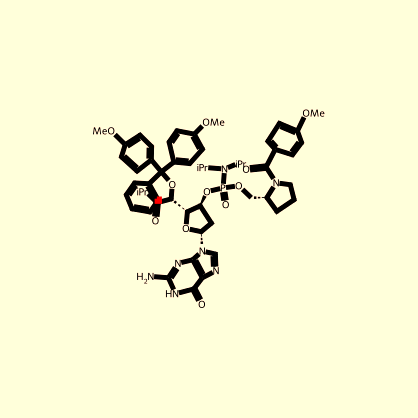 COc1ccc(C(=O)N2CCC[C@@H]2COP(=O)(O[C@H]2C[C@H](n3cnc4c(=O)[nH]c(N)nc43)O[C@@H]2C(OC(c2ccccc2)(c2ccc(OC)cc2)c2ccc(OC)cc2)C(=O)C(C)C)N(C(C)C)C(C)C)cc1